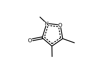 Cc1on(C)c(=O)c1C